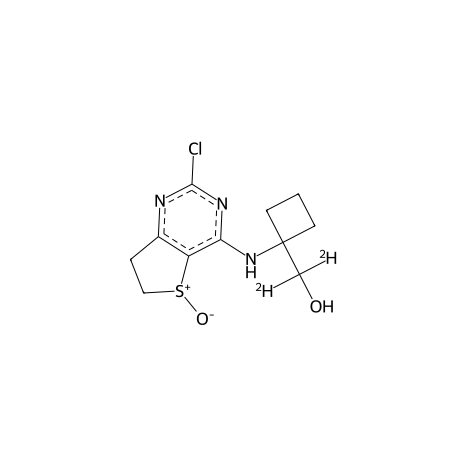 [2H]C([2H])(O)C1(Nc2nc(Cl)nc3c2[S+]([O-])CC3)CCC1